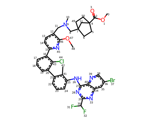 COC(=O)C12CCC(CN(C)Cc3ccc(-c4cccc(-c5cccc(Nc6nc(C(F)F)nc7cc(Br)cnc67)c5C)c4Cl)nc3OC)(CC1)C2